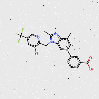 Cc1cc(-c2cccc(C(=O)O)c2)cc2c1nc(C)n2Cc1ncc(C(F)(F)F)cc1Cl